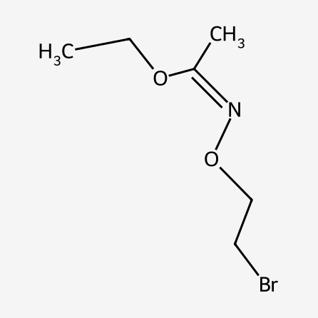 CCO/C(C)=N\OCCBr